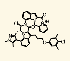 Cc1cc(OCCCc2c3n(c4c(-c5c(C)nn(C)c5C)cccc24)[C@H](C)C(Cl)N(c2cccc4cc(C(=O)O)n(Cc5ccccn5)c24)C3=O)cc(C)c1Cl